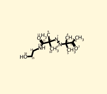 CC(=O)C(C)(C)N=NC(C)(C)C(=O)NCCO